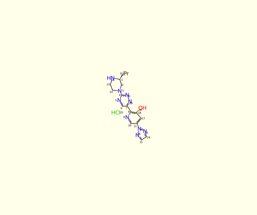 CC(C)[C@H]1CN(c2ncc(-c3ncc(-n4nccn4)cc3O)nn2)CCN1.Cl